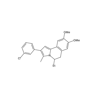 CCC1Cc2cc(OC)c(OC)cc2-c2cc(-c3cccc(Cl)c3)c(C)n21